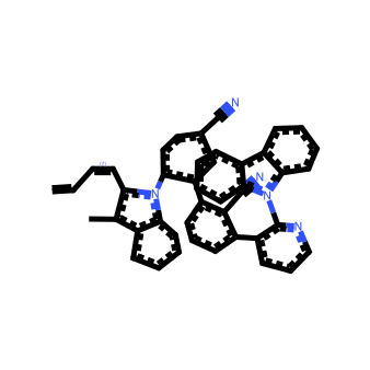 C=C/C=C\c1c(C)c2ccccc2n1-c1ccc(C#N)cc1-c1cccc(-c2cccnc2-n2c3ccccc3c3ccccc32)c1C#N